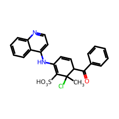 CC1(Cl)C(S(=O)(=O)O)=C(Nc2ccnc3ccccc23)C=CC1C(=O)c1ccccc1